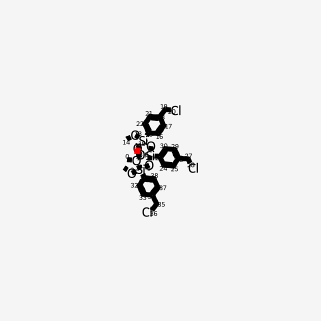 CO[Si](OC)(O[Si](OC)(O[Si](OC)(OC)c1ccc(CCl)cc1)c1ccc(CCl)cc1)c1ccc(CCl)cc1